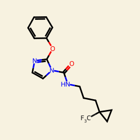 O=C(NCCCC1(C(F)(F)F)CC1)n1ccnc1Oc1ccccc1